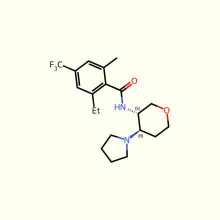 CCc1cc(C(F)(F)F)cc(C)c1C(=O)N[C@@H]1COCC[C@H]1N1CCCC1